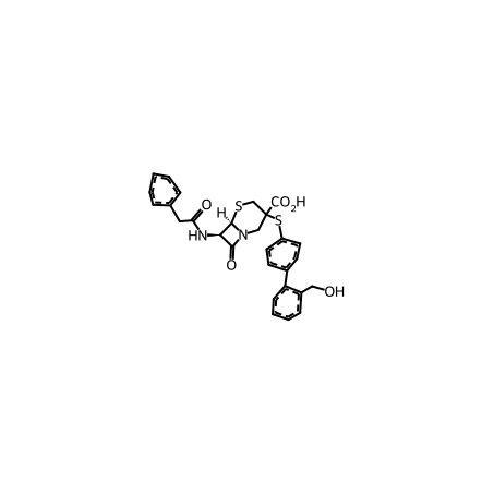 O=C(Cc1ccccc1)N[C@@H]1C(=O)N2CC(Sc3ccc(-c4ccccc4CO)cc3)(C(=O)O)CS[C@H]12